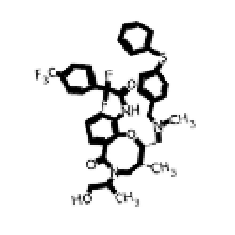 CC(CO)N1C[C@@H](C)[C@@H](CN(C)Cc2ccc(Sc3ccccc3)cc2)Oc2c(NC(=O)C(F)(F)c3ccc(C(F)(F)F)cc3)cccc2C1=O